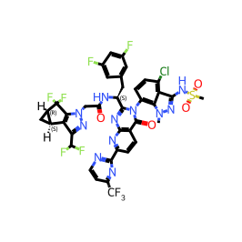 Cn1nc(NS(C)(=O)=O)c2c(Cl)ccc(-n3c([C@H](Cc4cc(F)cc(F)c4)NC(=O)Cn4nc(C(F)F)c5c4C(F)(F)[C@@H]4C[C@H]54)nc4nc(-c5nccc(C(F)(F)F)n5)ccc4c3=O)c21